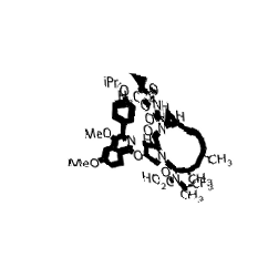 COc1ccc2c(O[C@@H]3C[C@H]4C(=O)N[C@]5(C(=O)NS(=O)(=O)C6(C)CC6)C[C@H]5C=CCC[C@H](C)C[C@@H](C)[C@H](N(C(=O)O)[C@H](C)C(F)(F)F)C(=O)N4C3)nc(-c3ccc(OC(C)C)cc3)c(OC)c2c1